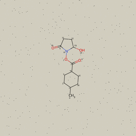 CC1CCC(C(=O)ON2C(=O)CCC2O)CC1